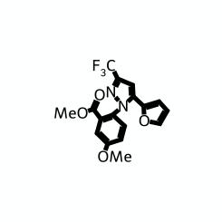 COC(=O)c1cc(OC)ccc1-n1nc(C(F)(F)F)cc1-c1ccco1